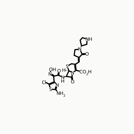 Nc1nc(/C(=N/O)C(=O)N[C@@H]2C(=O)N3C(C(=O)O)=C(/C=C4\CCN([C@@H]5CCNC5)C4=O)CS[C@H]23)c(Cl)s1